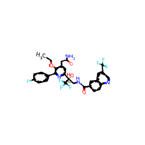 CCOc1c(CC(N)=O)cc([C@@](O)(CNC(=O)c2ccc3ncc(C(F)(F)F)cc3c2)C(F)(F)F)nc1-c1ccc(F)cc1